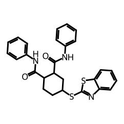 O=C(Nc1ccccc1)C1CCC(Sc2nc3ccccc3s2)CC1C(=O)Nc1ccccc1